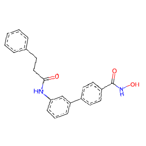 O=C(CCc1ccccc1)Nc1cccc(-c2ccc(C(=O)NO)cc2)c1